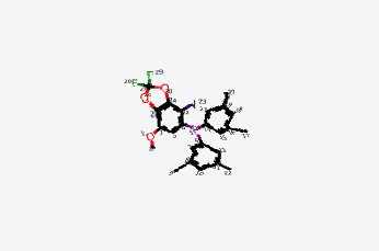 COc1cc(P(c2cc(C)cc(C)c2)c2cc(C)cc(C)c2)c(I)c2c1OC(F)(F)O2